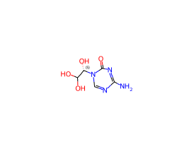 Nc1ncn([C@@H](O)C(O)O)c(=O)n1